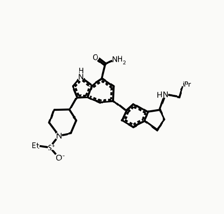 CC[S+]([O-])N1CCC(c2c[nH]c3c(C(N)=O)cc(-c4ccc5c(c4)C(NCC(C)C)CC5)cc23)CC1